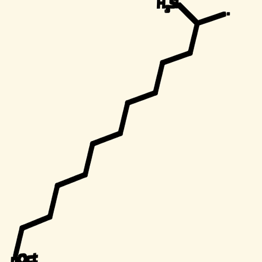 [CH2]C([SiH3])CCCCCCCCCCCCCCCCCC